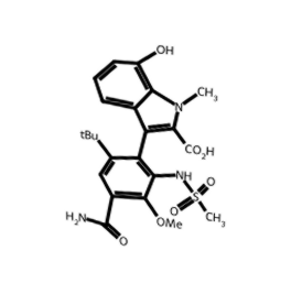 COc1c(C(N)=O)cc(C(C)(C)C)c(-c2c(C(=O)O)n(C)c3c(O)cccc23)c1NS(C)(=O)=O